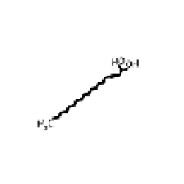 CCCCCCCCCCCCCCCCC#CCC(CO)CO